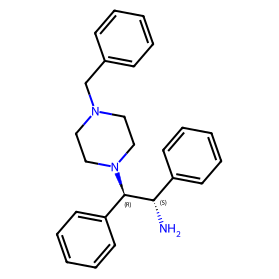 N[C@@H](c1ccccc1)[C@@H](c1ccccc1)N1CCN(Cc2ccccc2)CC1